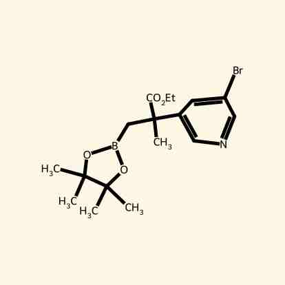 CCOC(=O)C(C)(CB1OC(C)(C)C(C)(C)O1)c1cncc(Br)c1